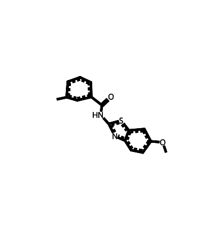 COc1ccc2nc(NC(=O)c3cccc(C)c3)sc2c1